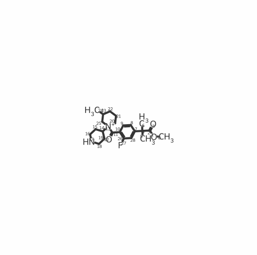 COC(=O)C(C)(C)c1ccc(C(=O)[N+]2(C3CCNCC3)CCCC(C)C2)c(F)c1